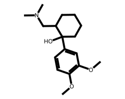 COc1ccc(C2(O)CCCCC2CN(C)C)cc1OC